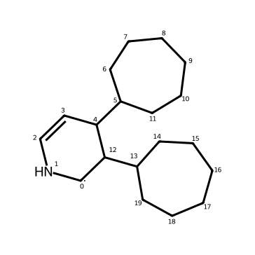 [CH]1NC=CC(C2CCCCCC2)C1C1CCCCCC1